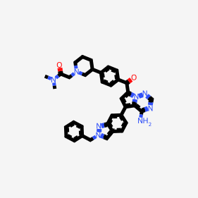 CN(C)C(=O)CN1CCCC(c2ccc(C(=O)c3cc(-c4ccc5cn(Cc6ccccc6)nc5c4)c4c(N)ncnn34)cc2)C1